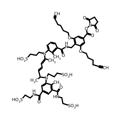 C#CCCCCOc1cc(C(=O)ON2C(=O)CCC2=O)cc(OCCCCC#C)c1CNC(=O)c1cccc(N(CCCS(=O)(=O)O)/C(C)=C/C=C/C(C)N(CCCS(=O)(=O)O)c2cc(C(=O)NCCS(=O)(=O)O)cc(C(=O)NCCS(=O)(=O)O)c2C)c1C